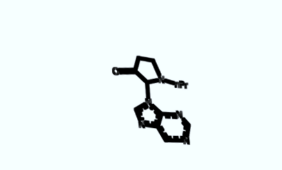 CCCN1CCC(=O)C1n1cnc2cncnc21